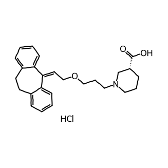 Cl.O=C(O)[C@@H]1CCCN(CCCOCC=C2c3ccccc3CCc3ccccc32)C1